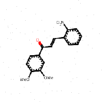 COc1ccc(C(=O)/C=C/c2ccccc2[N+](=O)[O-])cc1OC